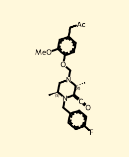 COc1cc(CC(C)=O)ccc1OCN1C[C@H](C)N(Cc2ccc(F)cc2)C(=C=O)[C@H]1C